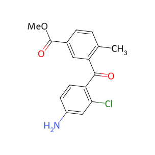 COC(=O)c1ccc(C)c(C(=O)c2ccc(N)cc2Cl)c1